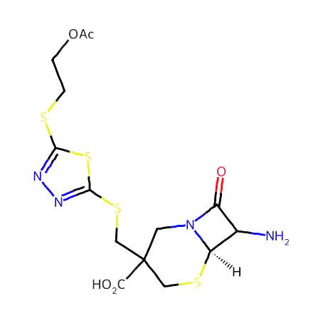 CC(=O)OCCSc1nnc(SCC2(C(=O)O)CS[C@@H]3C(N)C(=O)N3C2)s1